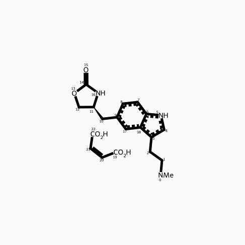 CNCCc1c[nH]c2ccc(C[C@H]3COC(=O)N3)cc12.O=C(O)/C=C\C(=O)O